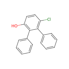 Oc1ccc(Cl)c(-c2ccccc2)c1-c1ccccc1